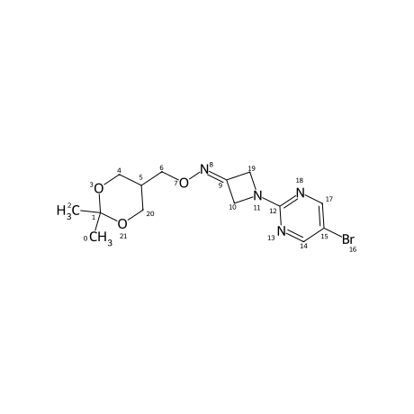 CC1(C)OCC(CON=C2CN(c3ncc(Br)cn3)C2)CO1